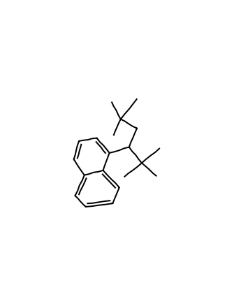 CC(C)(C)CC(c1cccc2ccccc12)C(C)(C)C